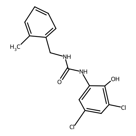 Cc1ccccc1CNC(=O)Nc1cc(Cl)cc(Cl)c1O